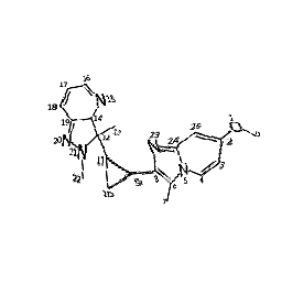 COc1ccn2c(C)c(C3CC3C3(C)C4N=CC=CC4=NN3C)nc2c1